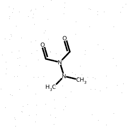 CN(C)N(C=O)C=O